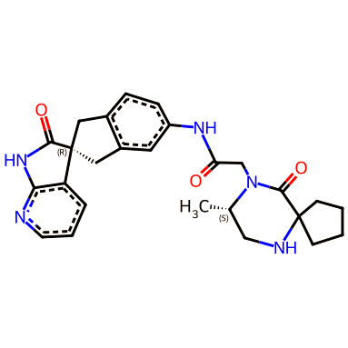 C[C@H]1CNC2(CCCC2)C(=O)N1CC(=O)Nc1ccc2c(c1)C[C@@]1(C2)C(=O)Nc2ncccc21